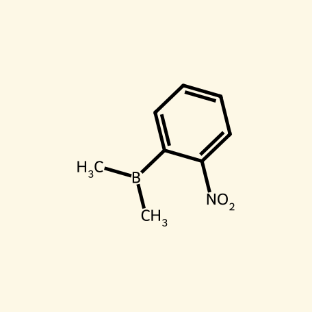 CB(C)c1ccccc1[N+](=O)[O-]